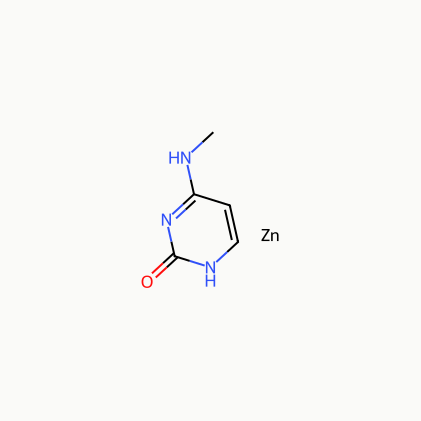 CNc1cc[nH]c(=O)n1.[Zn]